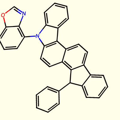 c1ccc(C2c3ccccc3-c3ccc4c(ccc5c4c4ccccc4n5-c4cccc5ocnc45)c32)cc1